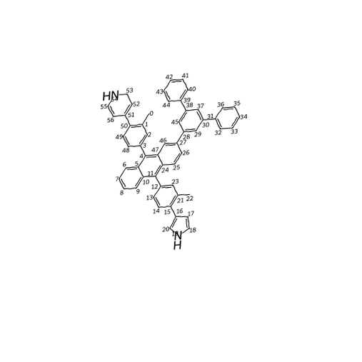 Cc1cc(-c2c3ccccc3c(-c3ccc(-c4cc[nH]c4)c(C)c3)c3ccc(-c4cc(-c5ccccc5)cc(-c5ccccc5)c4)cc23)ccc1C1=CCNC=C1